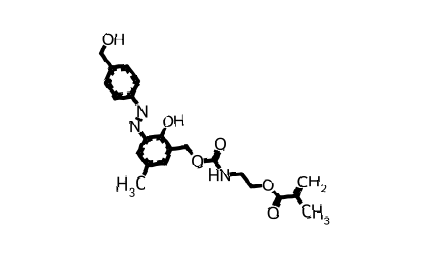 C=C(C)C(=O)OCCNC(=O)OCc1cc(C)cc(/N=N/c2ccc(CO)cc2)c1O